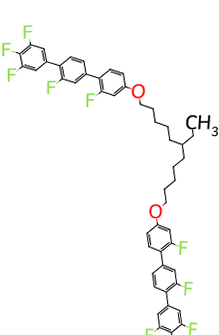 CCC(CCCCCOc1ccc(-c2ccc(-c3cc(F)c(F)c(F)c3)c(F)c2)c(F)c1)CCCCCOc1ccc(-c2ccc(-c3cc(F)c(F)c(F)c3)c(F)c2)c(F)c1